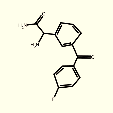 NC(=O)C(N)c1cccc(C(=O)c2ccc(F)cc2)c1